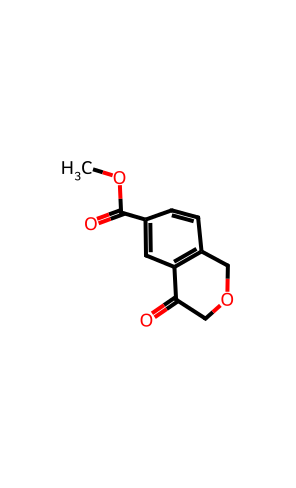 COC(=O)c1ccc2c(c1)C(=O)COC2